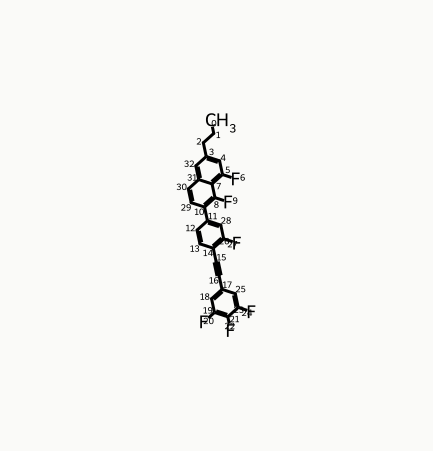 CCCc1cc(F)c2c(F)c(-c3ccc(C#Cc4cc(F)c(F)c(F)c4)c(F)c3)ccc2c1